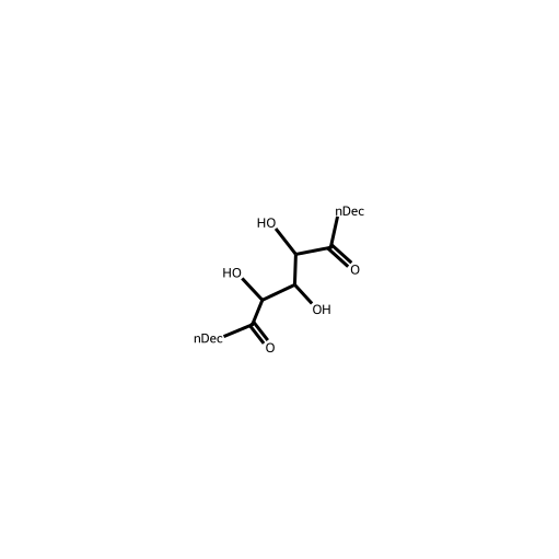 CCCCCCCCCCC(=O)C(O)C(O)C(O)C(=O)CCCCCCCCCC